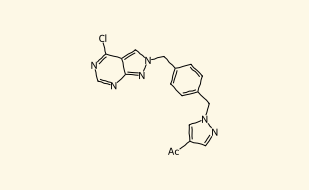 CC(=O)c1cnn(Cc2ccc(Cn3cc4c(Cl)ncnc4n3)cc2)c1